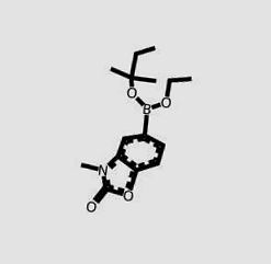 CCOB(OC(C)(C)CC)c1ccc2oc(=O)n(C)c2c1